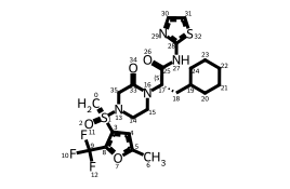 C=S(=O)(c1cc(C)oc1C(F)(F)F)N1CCN([C@@H](CC2CCCCC2)C(=O)Nc2nccs2)C(=O)C1